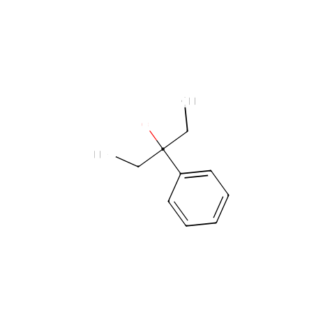 CCC(O)(CC)c1ccccc1